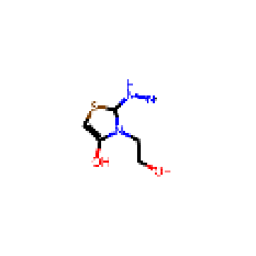 [N]NC1SC=C(O)N1CCO